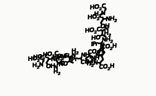 CC(C)C(N)C(=O)O.CC(C)C(N)C(=O)O.CC(O)C(N)C(=O)O.CC(O)C(N)C(=O)O.NC(=O)CC(N)C(=O)O.NC(CO)C(=O)O.NC(CO)C(=O)O.NC(Cc1c[nH]cn1)C(=O)O.NCC(=O)O.NCC(=O)O.O=C(O)[C@@H]1CCCN1